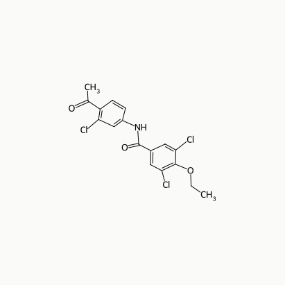 CCOc1c(Cl)cc(C(=O)Nc2ccc(C(C)=O)c(Cl)c2)cc1Cl